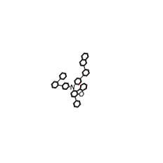 c1ccc(-c2ccccc2-c2ccc(N(c3ccc(-c4cccc(-c5ccc6ccccc6c5)c4)cc3)c3ccc(-c4ccccc4)c4oc5ccccc5c34)cc2)cc1